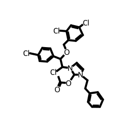 CC(=O)OC1N(CCc2ccccc2)C=CN1C(Cl)C(OCc1ccc(Cl)cc1Cl)c1ccc(Cl)cc1